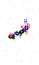 O=C1CCC(N2Cc3cc(C4CCN(Cc5cc(F)cc6c5OCCC6)CC4)c(F)cc3C2=O)C(=O)N1